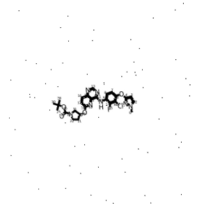 Cn1ccc(Oc2ccc(Nc3ncnc4ccc(O[C@H]5CCN(C(=O)OC(C)(C)C)C5)nc34)c(F)c2Cl)n1